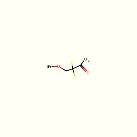 CC(C)OCC(F)(F)C(=O)C(F)(F)F